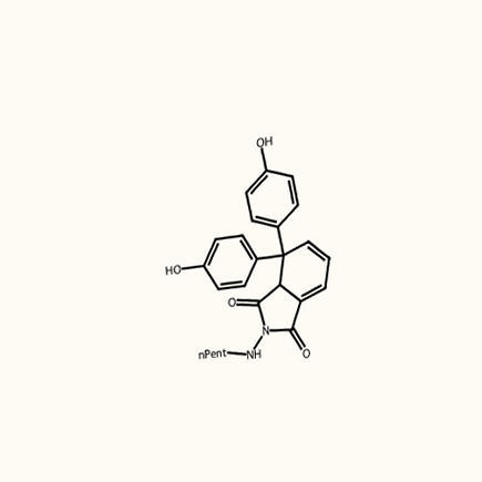 CCCCCNN1C(=O)C2=CC=CC(c3ccc(O)cc3)(c3ccc(O)cc3)C2C1=O